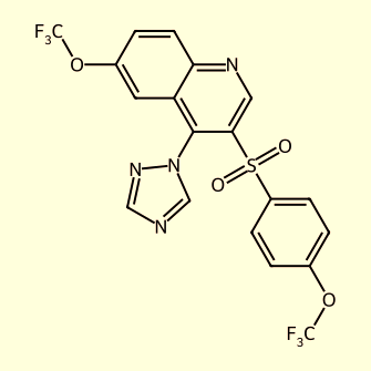 O=S(=O)(c1ccc(OC(F)(F)F)cc1)c1cnc2ccc(OC(F)(F)F)cc2c1-n1cncn1